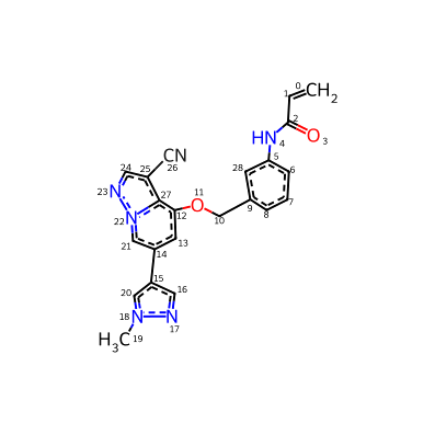 C=CC(=O)Nc1cccc(COc2cc(-c3cnn(C)c3)cn3ncc(C#N)c23)c1